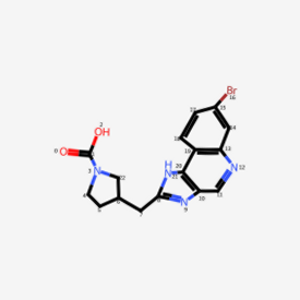 O=C(O)N1CCC(Cc2nc3cnc4cc(Br)ccc4c3[nH]2)C1